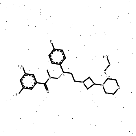 CN(C[C@@H](CCN1CC(N2CCOC[C@H]2CCO)C1)c1ccc(F)cc1)C(=O)c1cc(Br)cc(C(F)(F)F)c1